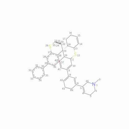 CN1CCC=C(C2=CC(C3=CC4SC5C=CCCC5[C@]5(C6=CC=CCC6Sc6cc(-c7ccccc7)ccc65)C4C=C3)=CCC2)C1